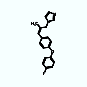 CC(=Cc1ccc(Oc2ccc(F)cc2)cc1)Cn1ccnc1